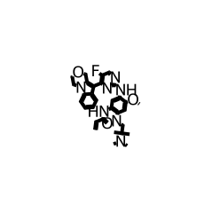 C=CC(=O)Nc1cc(Nc2ncc(F)c(-c3c4n(c5ccccc35)CCOC4)n2)c(OC)cc1N(C)CC(C)(C)N(C)C